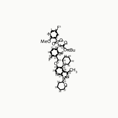 COc1ncc(F)cc1S(=O)(=O)N(C(=O)OC(C)(C)C)c1ccc(F)c(COc2cnc3c(c(C)nn3C3CCCCO3)c2N2CCCCC2)c1F